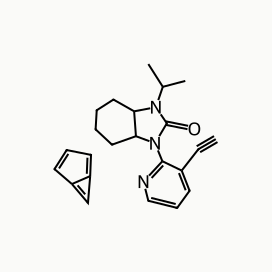 C#Cc1cccnc1N1C(=O)N(C(C)C)C2CCCCC21.c1cc2cc-2c1